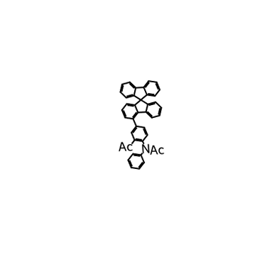 CC(=O)c1cc(-c2cccc3c2-c2ccccc2C32c3ccccc3-c3ccccc32)ccc1N(C(C)=O)c1ccccc1